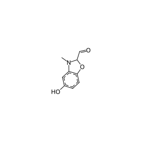 CN1c2cc(O)ccc2OC1C=O